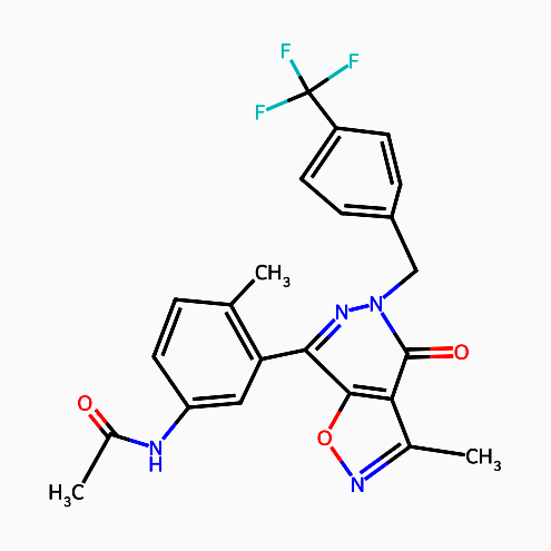 CC(=O)Nc1ccc(C)c(-c2nn(Cc3ccc(C(F)(F)F)cc3)c(=O)c3c(C)noc23)c1